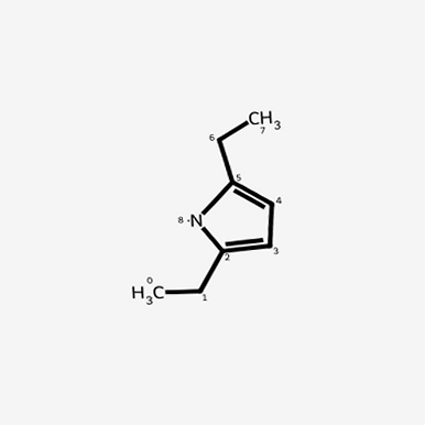 CCC1=CC=C(CC)[N]1